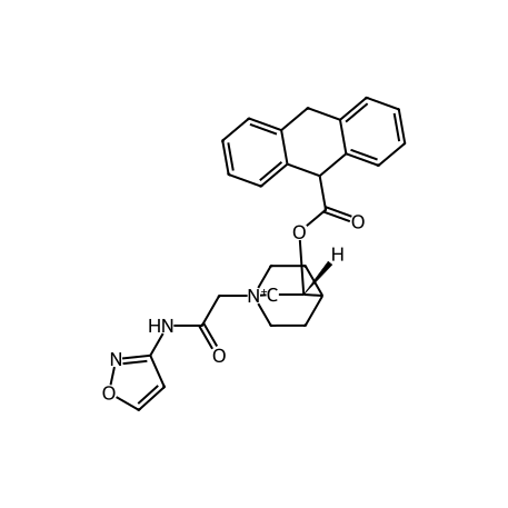 O=C(C[N+]12CCC(CC1)[C@@H](OC(=O)C1c3ccccc3Cc3ccccc31)C2)Nc1ccon1